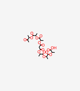 CC(=O)C(C)OC(=O)C(C)OC(=O)C(C)OC(=O)CC(=O)OC(C)C(=O)OC(C)C(=O)OC(C)C(=O)O